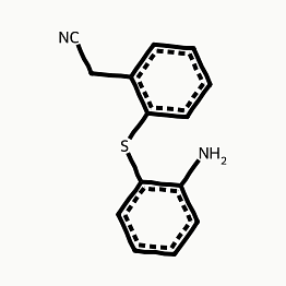 N#CCc1ccccc1Sc1ccccc1N